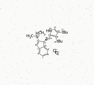 C[SiH](C)C1=Cc2ccccc2[CH]1[Zr+2][c]1[nH]cc(C(C)(C)C)c1C(C)(C)C.[Cl-].[Cl-]